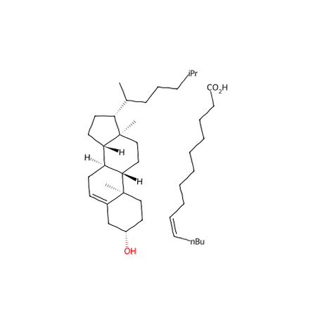 CC(C)CCCC(C)[C@H]1CC[C@H]2[C@@H]3CC=C4C[C@@H](O)CC[C@]4(C)[C@H]3CC[C@]12C.CCCC/C=C\CCCCCCCC(=O)O